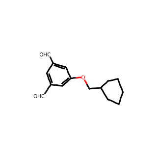 O=Cc1cc(C=O)cc(OCC2CCCCC2)c1